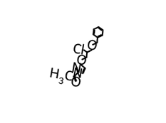 CC(=O)n1ccc(OCC(Cl)COCc2ccccc2)n1